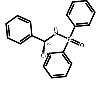 C[C@H](NP(=O)(c1ccccc1)c1ccccc1)c1ccccc1